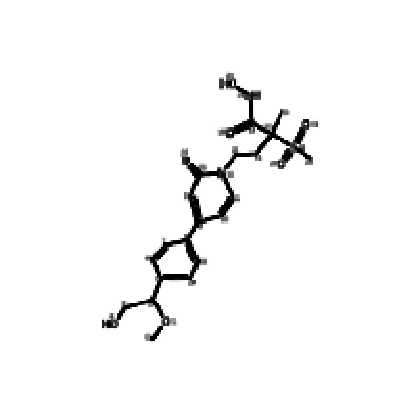 COC(CO)c1ccc(-c2ccn(CCC(C)(C(=O)NO)S(C)(=O)=O)c(=O)c2)cc1